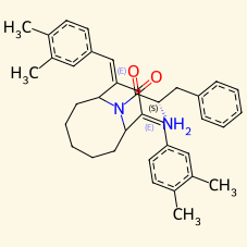 Cc1ccc(/C=C2/C(=O)/C(=C/c3ccc(C)c(C)c3)C3CCCCCC2N3C(=O)[C@@H](N)Cc2ccccc2)cc1C